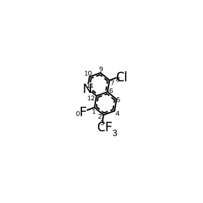 Fc1c(C(F)(F)F)ccc2c(Cl)ccnc12